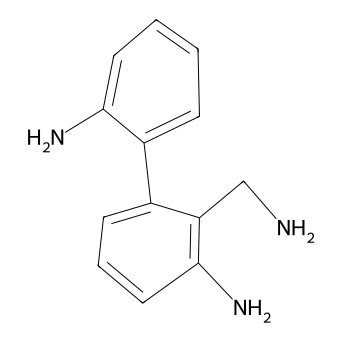 NCc1c(N)cccc1-c1ccccc1N